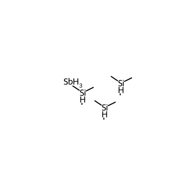 C[SiH](C)C.C[SiH](C)C.C[SiH](C)C.[SbH3]